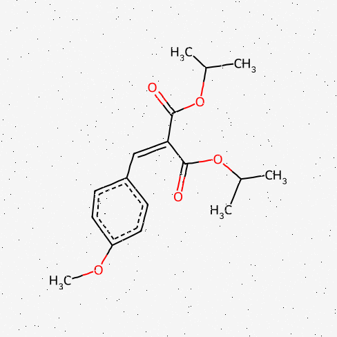 COc1ccc(C=C(C(=O)OC(C)C)C(=O)OC(C)C)cc1